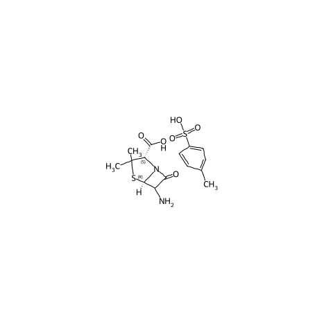 CC1(C)S[C@@H]2C(N)C(=O)N2[C@H]1C(=O)O.Cc1ccc(S(=O)(=O)O)cc1